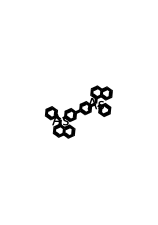 c1ccc([As](c2ccc(-c3ccc([As](c4ccccc4)c4cccc5ccccc45)cc3)cc2)c2cccc3ccccc23)cc1